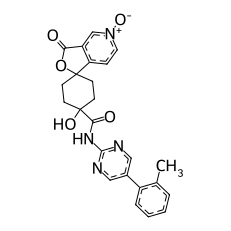 Cc1ccccc1-c1cnc(NC(=O)C2(O)CCC3(CC2)OC(=O)c2c[n+]([O-])ccc23)nc1